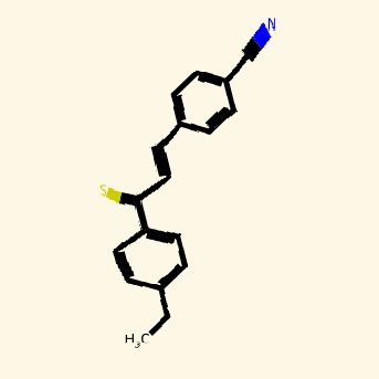 CCc1ccc(C(=S)C=Cc2ccc(C#N)cc2)cc1